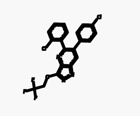 FC(F)(F)COc1nnc2cc(-c3ccc(Cl)cc3)c(-c3ccccc3Cl)nn12